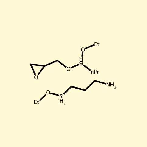 CCC[SiH](OCC)OCC1CO1.CCO[SiH2]CCCN